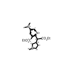 CCOC(=O)c1cc(N(C)C)cnc1C(C(=O)OCC)C1CCN(C)C1